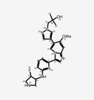 COc1cc2ncc(-c3cccc(NC4CNCC4F)n3)n2cc1-c1cnn(CC(C)(C)O)c1